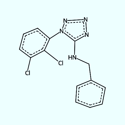 Clc1cccc(-n2nnnc2NCc2ccccc2)c1Cl